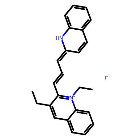 CCc1cc2ccccc2[n+](CC)c1C=CC=C1C=Cc2ccccc2N1.[I-]